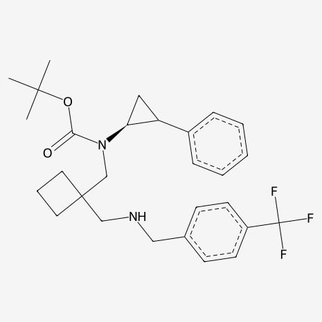 CC(C)(C)OC(=O)N(CC1(CNCc2ccc(C(F)(F)F)cc2)CCC1)[C@H]1CC1c1ccccc1